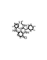 CCNC(=O)[C@@H](Nc1nc(Nc2cnn(C)c2)ncc1Cl)c1ccccc1